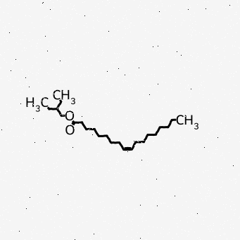 CCCCCCCC/C=C\CCCCCCCC(=O)OCC(CC)CC